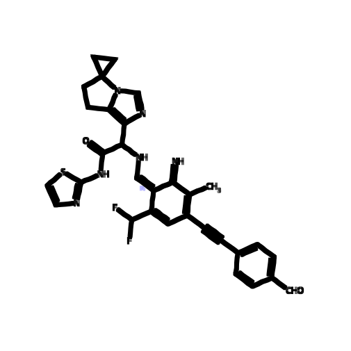 CC1=C(C#Cc2ccc(C=O)cc2)C=C(C(F)F)/C(=C/NC(C(=O)Nc2nccs2)c2ncn3c2CCC32CC2)C1=N